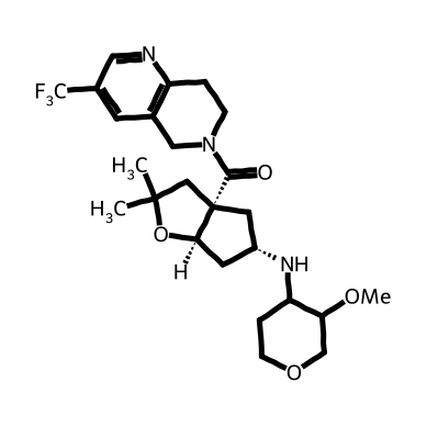 COC1COCCC1N[C@@H]1C[C@H]2OC(C)(C)C[C@@]2(C(=O)N2CCc3ncc(C(F)(F)F)cc3C2)C1